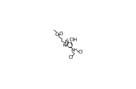 CCOC(=O)CCCc1nc2cc(N(CCCl)CCCl)ccc2n1C.Cl